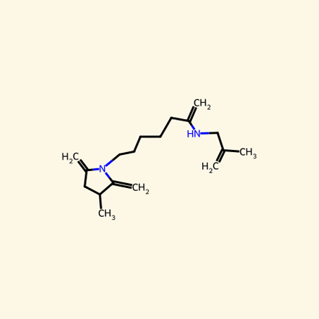 C=C(C)CNC(=C)CCCCCN1C(=C)CC(C)C1=C